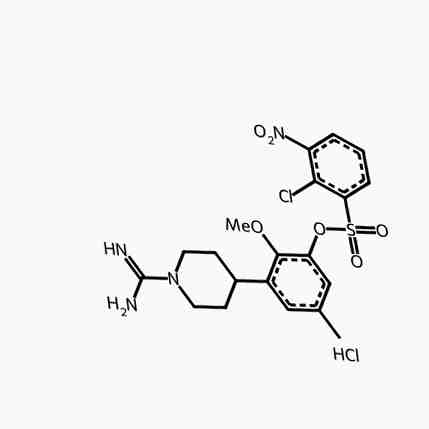 COc1c(OS(=O)(=O)c2cccc([N+](=O)[O-])c2Cl)cc(C)cc1C1CCN(C(=N)N)CC1.Cl